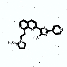 Cc1nc(-c2ccncc2)sc1-c1ccc2cccc(CCN3CCC[C@H]3C)c2n1